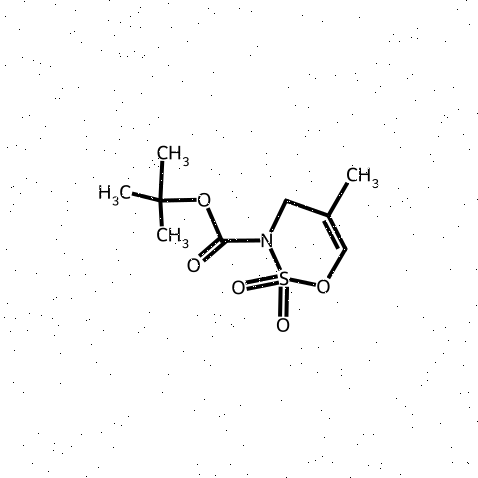 CC1=COS(=O)(=O)N(C(=O)OC(C)(C)C)C1